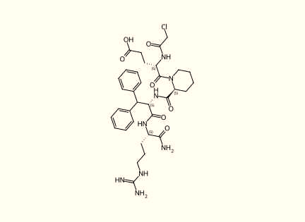 N=C(N)NCCC[C@H](NC(=O)[C@@H](NC(=O)[C@@H]1CCCCN1C(=O)[C@H](CCC(=O)O)NC(=O)CCl)C(c1ccccc1)c1ccccc1)C(N)=O